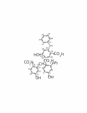 CCCc1cc(O)ccc1C(=O)O.Cc1cc(O)ccc1C(=O)O.O=C(O)c1ccc(O)cc1Cc1ccccc1